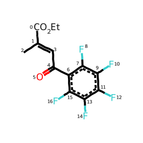 CCOC(=O)/C(C)=C/C(=O)c1c(F)c(F)c(F)c(F)c1F